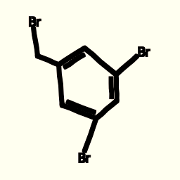 BrCc1cc(Br)cc(Br)c1